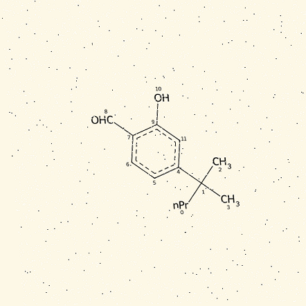 CCCC(C)(C)c1ccc(C=O)c(O)c1